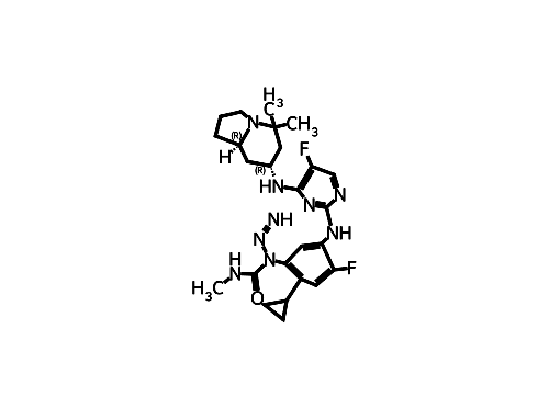 CNC(=O)N(N=N)c1cc(Nc2ncc(F)c(N[C@@H]3C[C@H]4CCCN4C(C)(C)C3)n2)c(F)cc1C1CC1